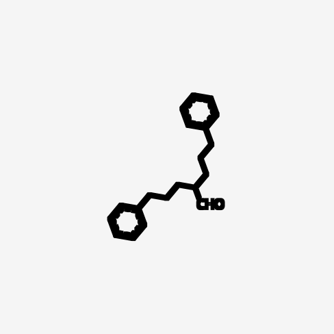 O=CC(CCCc1ccccc1)CCCc1ccccc1